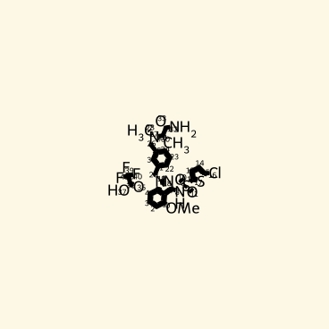 COc1cccc2c1c(NS(=O)(=O)c1ccc(Cl)s1)nn2Cc1cccc(CN(C)[C@@H](C)C(N)=O)c1.O=C(O)C(F)(F)F